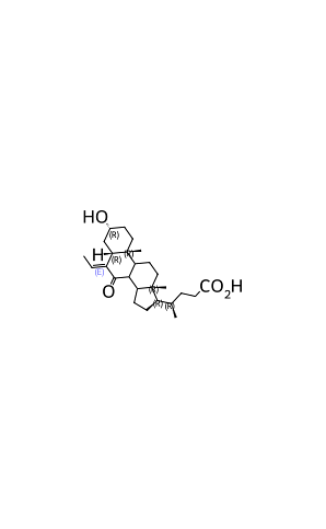 C/C=C1/C(=O)C2C3CC[C@H]([C@H](C)CCC(=O)O)[C@@]3(C)CCC2[C@@]2(C)CC[C@@H](O)C[C@@H]12